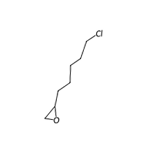 ClCCCCCC1CO1